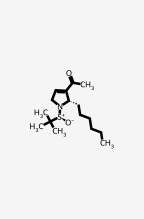 CCCCCC[C@H]1C(C(C)=O)=CCN1[S@@+]([O-])C(C)(C)C